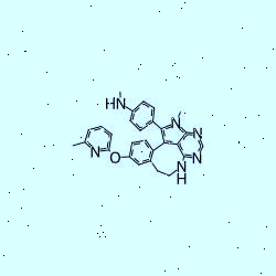 CNc1ccc(-c2c3c4c(ncnc4n2C)NCCc2cc(Oc4cccc(C)n4)ccc2-3)cc1